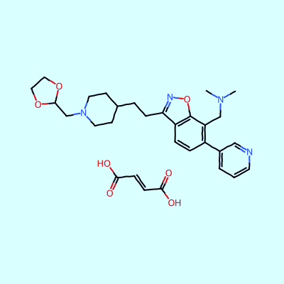 CN(C)Cc1c(-c2cccnc2)ccc2c(CCC3CCN(CC4OCCO4)CC3)noc12.O=C(O)/C=C/C(=O)O